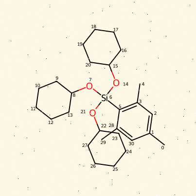 Cc1cc(C)c([Si](OC2CCCCC2)(OC2CCCCC2)OC2CCCCC2)c(C)c1